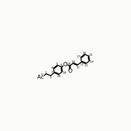 CC(=O)CCc1ccc(OC(=O)C=Cc2ccccc2)cc1